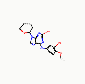 COc1ccc(Nc2nc(O)nc3c2ncn3C2CCCCO2)cc1O